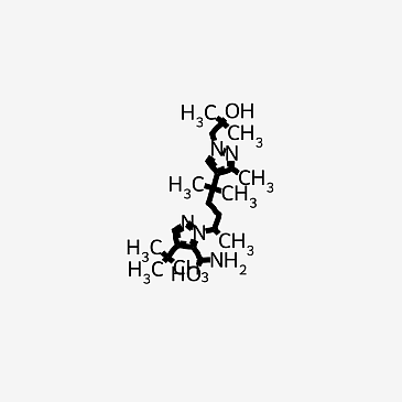 Cc1nn(CC(C)(C)O)cc1C(C)(C)CCC(C)n1ncc(C(C)(C)C)c1C(N)O